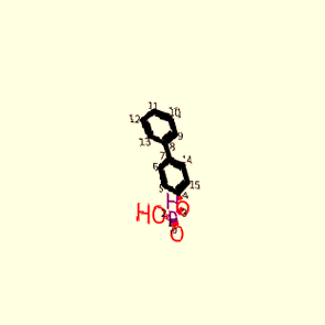 O=[PH](O)Oc1ccc(-c2ccccc2)cc1